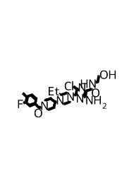 CC[C@H]1CN(c2nc(N)c(C(=O)NCCO)nc2Cl)CCN1C1CCN(C(=O)c2ccc(C)c(F)c2)CC1